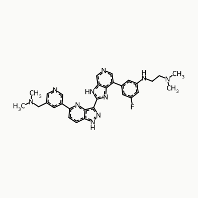 CN(C)CCNc1cc(F)cc(-c2cncc3[nH]c(-c4n[nH]c5ccc(-c6cncc(CN(C)C)c6)nc45)nc23)c1